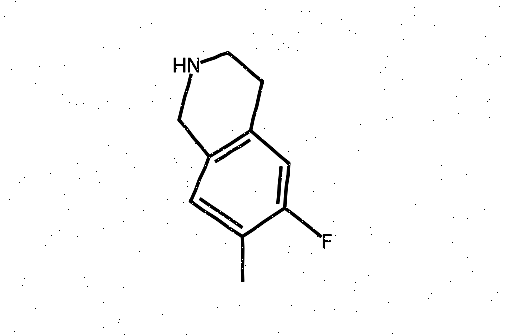 Cc1cc2c(cc1F)CCNC2